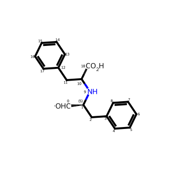 O=[C][C@H](Cc1ccccc1)NC(Cc1ccccc1)C(=O)O